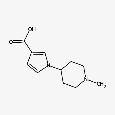 CN1CCC(n2ccc(C(=O)O)c2)CC1